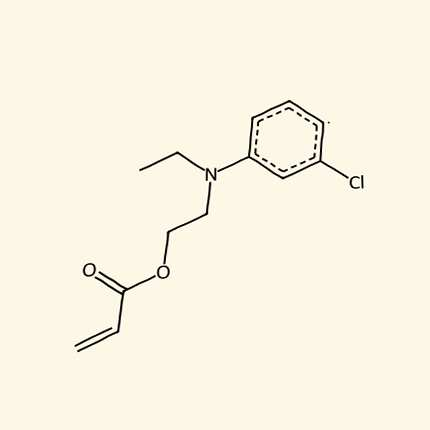 C=CC(=O)OCCN(CC)c1cc[c]c(Cl)c1